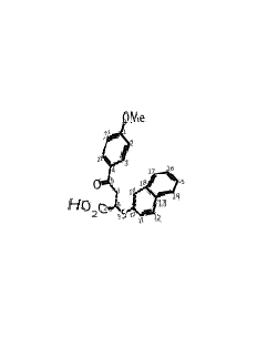 COc1ccc(C(=O)CC(Sc2ccc3ccccc3c2)C(=O)O)cc1